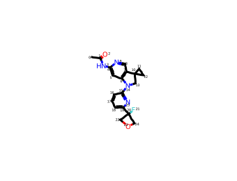 CC(=O)Nc1cc2c(cn1)C1(CC1)CN2c1cccc(C2(F)COC2)n1